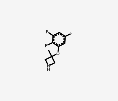 CC1(Oc2cc(F)cc(F)c2F)CNC1